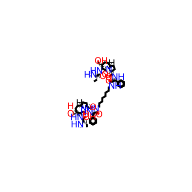 CC[C@H](NC)C(=O)N[C@@H]1C(=O)N2[C@@H](CC[C@@H]1CO)CC[C@H]2C(=O)N[C@H](C(=O)NCCCCCCCCNC(=O)[C@@H](NC(=O)[C@@H]1CC[C@@H]2CC[C@H](CO)[C@H](NC(O)[C@H](CC)NC)C(=O)N21)c1ccccc1)c1ccccc1